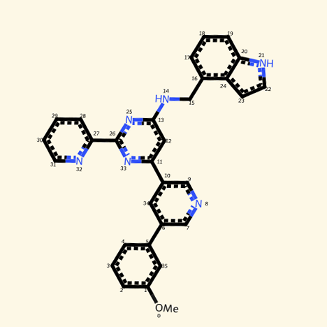 COc1cccc(-c2cncc(-c3cc(NCc4cccc5[nH]ccc45)nc(-c4ccccn4)n3)c2)c1